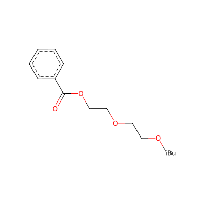 CCC(C)OCCOCCOC(=O)c1ccccc1